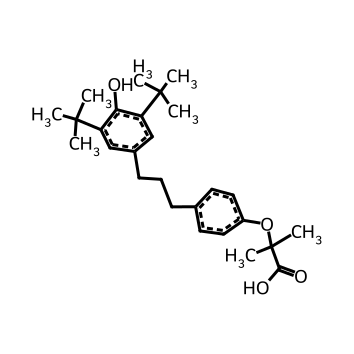 CC(C)(Oc1ccc(CCCc2cc(C(C)(C)C)c(O)c(C(C)(C)C)c2)cc1)C(=O)O